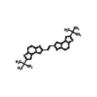 C[Si](C)(C)c1cc2c(ccc3sc(/C=C/c4cc5c(ccc6sc([Si](C)(C)C)cc65)s4)cc32)s1